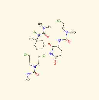 CCN(N=O)C(=O)N(Cl)C1(C)CCCCC1.O=NN(CCCl)C(=O)NC1CCC(=O)NC1=O.O=NNC(=O)N(CCCl)CCCl